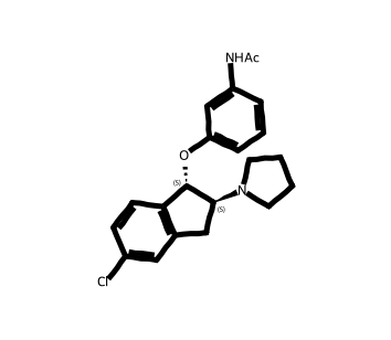 CC(=O)Nc1cccc(O[C@H]2c3ccc(Cl)cc3C[C@@H]2N2CCCC2)c1